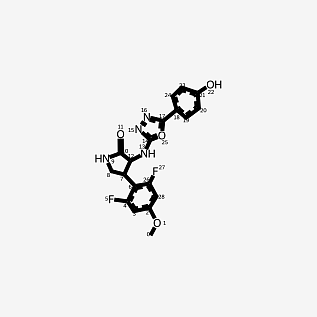 COc1cc(F)c(C2CNC(=O)C2Nc2nnc(-c3ccc(O)cc3)o2)c(F)c1